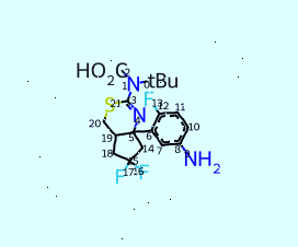 CC(C)(C)N(C(=O)O)C1=NC2(c3cc(N)ccc3F)CC(F)(F)CC2CS1